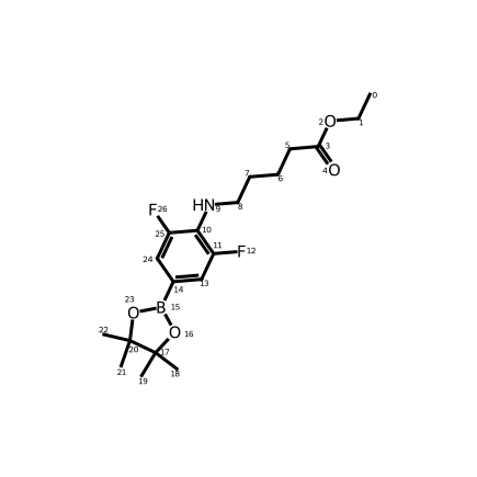 CCOC(=O)CCCCNc1c(F)cc(B2OC(C)(C)C(C)(C)O2)cc1F